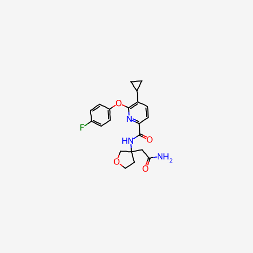 NC(=O)CC1(NC(=O)c2ccc(C3CC3)c(Oc3ccc(F)cc3)n2)CCOC1